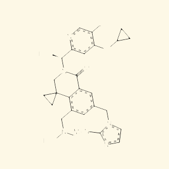 CNc1nccn1Cc1cc(CN(C)C)c2c(c1)C(=O)N([C@@H](C)c1cc(OC3CC3)c(F)cn1)CC21CC1